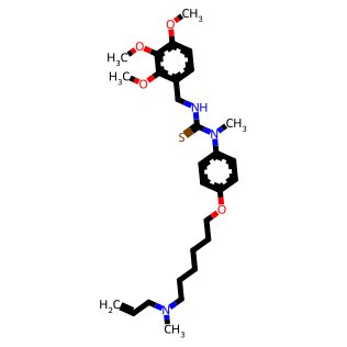 C=CCN(C)CCCCCCOc1ccc(N(C)C(=S)NCc2ccc(OC)c(OC)c2OC)cc1